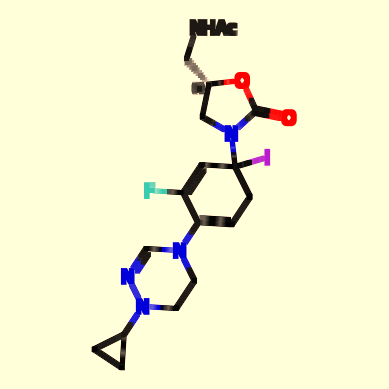 CC(=O)NC[C@H]1CN(C2(I)C=C(F)C(N3C=NN(C4CC4)CC3)=CC2)C(=O)O1